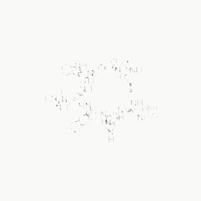 CCCC[C@H](NC(C)=O)C(=O)N[C@H]1CSSC[C@@H](C(N)=O)NC(=O)CCCNC(=O)[C@H](Cc2c[nH]c3ccccc23)NC(=O)[C@H](CCCNC(=N)N)NC(=O)[C@@H](Cc2ccc3ccccc3c2)NC(=O)[C@H](Cc2c[nH]cn2)NC1=O